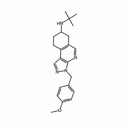 COc1ccc(Cn2ncc3c4c(cnc32)CC(NC(C)(C)C)CC4)cc1